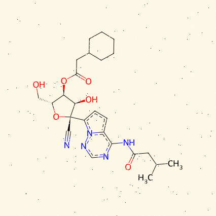 CC(C)CC(=O)Nc1ncnn2c([C@]3(C#N)O[C@H](CO)[C@@H](OC(=O)CC4CCCCC4)[C@H]3O)ccc12